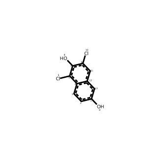 Oc1ccc2c(Cl)c(O)c(Cl)cc2c1